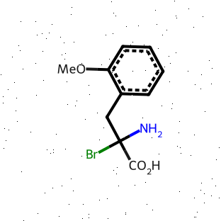 COc1ccccc1CC(N)(Br)C(=O)O